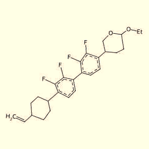 C=CC1CCC(c2ccc(-c3ccc(C4CCC(OCC)OC4)c(F)c3F)c(F)c2F)CC1